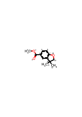 COC(=O)c1ccc2c(c1)C(C)(C)CO2